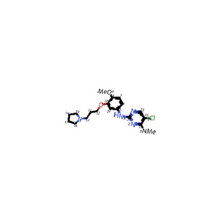 CNc1nc(Nc2ccc(OC)c(OCCCN3CCCC3)c2)ncc1Cl